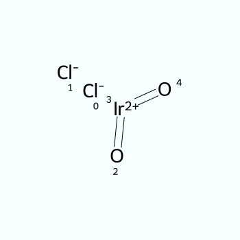 [Cl-].[Cl-].[O]=[Ir+2]=[O]